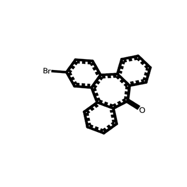 O=c1c2ccccc2c2ccc(Br)cc2c2ccccc12